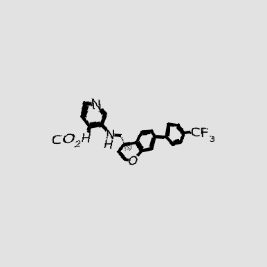 O=C(O)c1ccncc1NC[C@H]1CCOc2cc(-c3ccc(C(F)(F)F)cc3)ccc21